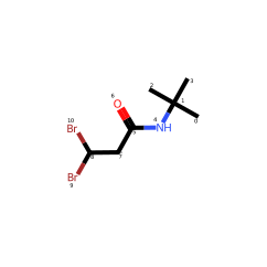 CC(C)(C)NC(=O)[CH]C(Br)Br